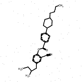 CCCCC1CCC(c2ccc(C(=O)Oc3ccc(CC(C)CC)cc3C#N)cc2)CC1